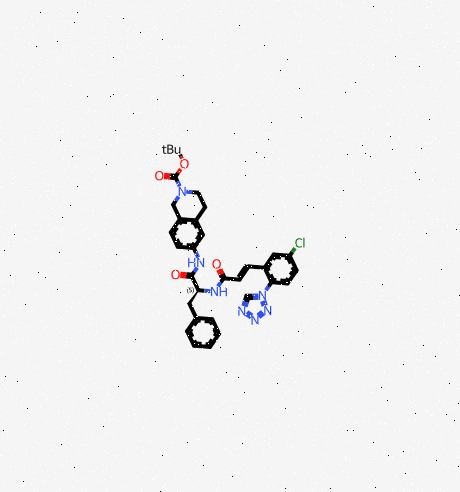 CC(C)(C)OC(=O)N1CCc2cc(NC(=O)[C@H](Cc3ccccc3)NC(=O)C=Cc3cc(Cl)ccc3-n3cnnn3)ccc2C1